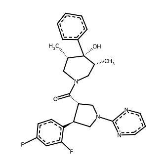 C[C@@H]1CN(C(=O)[C@@H]2CN(c3ncccn3)C[C@H]2c2ccc(F)cc2F)C[C@H](C)[C@@]1(O)c1ccccc1